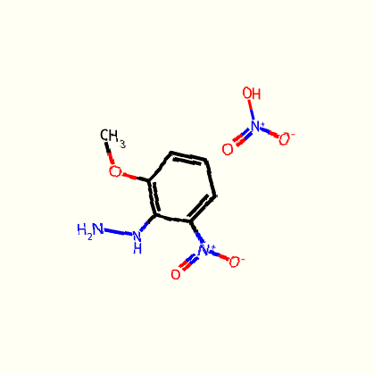 COc1cccc([N+](=O)[O-])c1NN.O=[N+]([O-])O